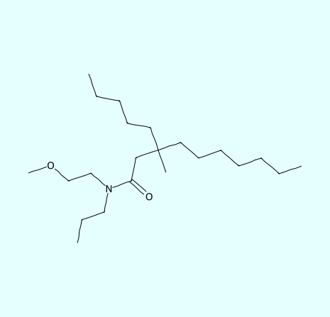 CCCCCCCC(C)(CCCCC)CC(=O)N(CCC)CCOC